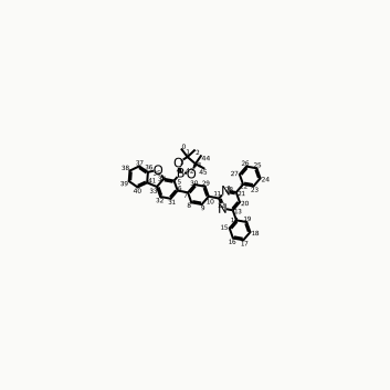 CC1(C)OB(c2c(-c3ccc(-c4nc(-c5ccccc5)cc(-c5ccccc5)n4)cc3)ccc3c2oc2ccccc23)OC1(C)C